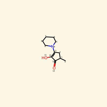 CC1CC(N2CCCCC2)=C(O)C1=O